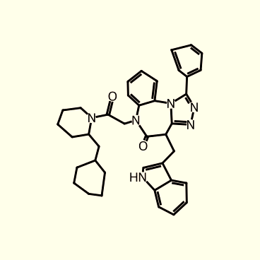 O=C1C(Cc2c[nH]c3ccccc23)c2nnc(-c3ccccc3)n2-c2ccccc2N1CC(=O)N1CCCCC1CC1CCCCC1